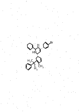 CC1=C(C(C)(C)c2ccccc2)C[C@H](C2C=C([C@H]3C=CC(Br)=CC3)NC(C3=CCCC=C3)N2)C=C1